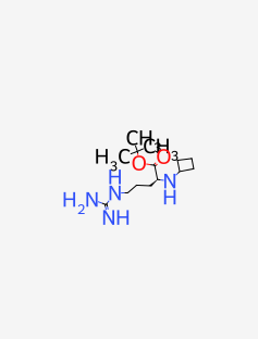 CC(C)(C)OC(=O)[C@H](CCCNC(=N)N)NC1CCC1